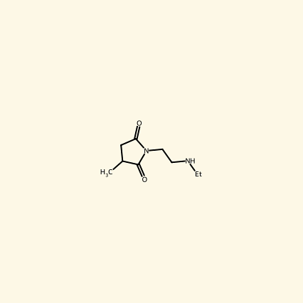 CCNCCN1C(=O)CC(C)C1=O